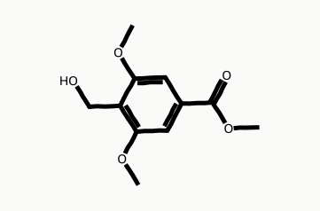 COC(=O)c1cc(OC)c(CO)c(OC)c1